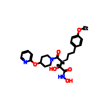 CCOc1ccc(CCC[C@@H](C(=O)N2CCC(Oc3ccccn3)CC2)[C@H](O)C(=O)NO)cc1